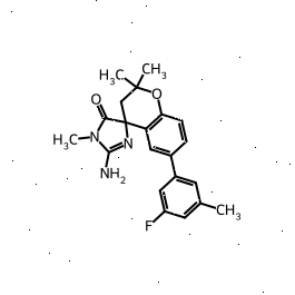 Cc1cc(F)cc(-c2ccc3c(c2)C2(CC(C)(C)O3)N=C(N)N(C)C2=O)c1